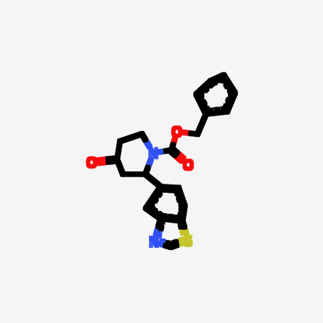 O=C1CCN(C(=O)OCc2ccccc2)C(c2ccc3scnc3c2)C1